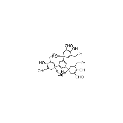 C#CC1(c2cc(C3(C#C)C=C(CC(C)C)C(O)=C(C=O)C3)cc(C3(C#C)C=C(CC(C)C)C(O)=C(C=O)C3)c2)C=C(CC(C)C)C(O)=C(C=O)C1